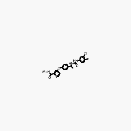 CNC(=O)c1cc(Oc2ccc(C(C)NC(=O)Nc3ccc(C)c(Cl)c3)cc2)ccn1